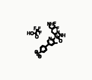 Cc1cc(-c2ccc(S(C)(=O)=O)cc2)cnc1-n1c(CC(CN)=C(F)F)n[nH]c1=O.O=C(O)C(F)(F)F